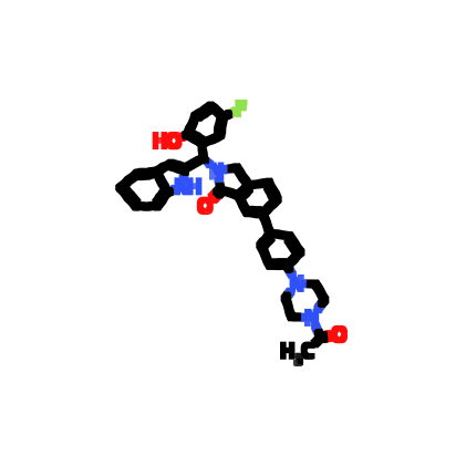 CC(=O)N1CCN(c2ccc(-c3ccc4c(c3)C(=O)N([C@@H](c3cc5ccccc5[nH]3)c3cc(F)ccc3O)C4)cc2)CC1